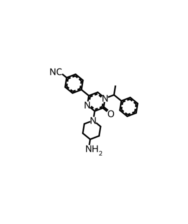 CC(c1ccccc1)n1cc(-c2ccc(C#N)cc2)nc(N2CCC(N)CC2)c1=O